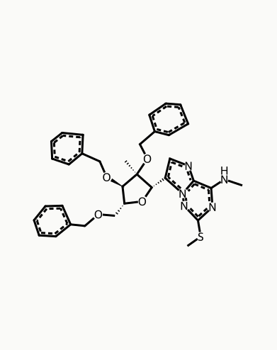 CNc1nc(SC)nn2c([C@@H]3O[C@H](COCc4ccccc4)[C@@H](OCc4ccccc4)[C@@]3(C)OCc3ccccc3)cnc12